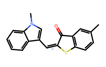 Cc1ccc2c(c1)C(=O)/C(=C\c1cn(C)c3ccccc13)S2